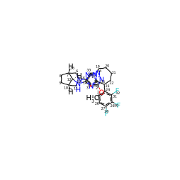 COc1cc(N2C[C@H]3CC[C@@H](C2)[C@@H]3Nc2nc3n(n2)CCCCC3c2ccc(F)c(F)c2F)cnn1